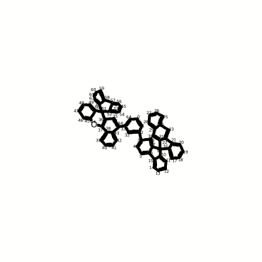 c1cc(-c2ccc3c(c2)C2(c4ccccc4-3)c3ccccc3-c3cc4ccccc4cc32)cc(-c2cc3c(c4ccccc24)Oc2ccccc2C32c3ccccc3-c3ccccc32)c1